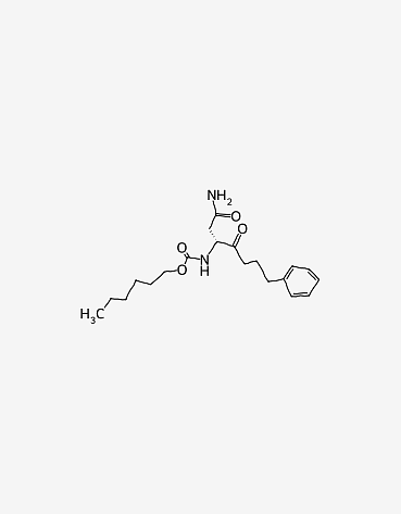 CCCCCCOC(=O)N[C@H](CC(N)=O)C(=O)CCCc1ccccc1